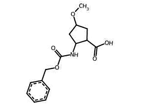 COC1CC(NC(=O)OCc2ccccc2)C(C(=O)O)C1